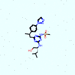 CC(C)C[C@H](CO)Nc1nc(CC(C)c2ccc(-n3ccnn3)cc2)nc(NS(C)(=O)=O)n1